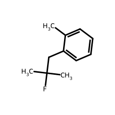 Cc1ccccc1CC(C)(C)F